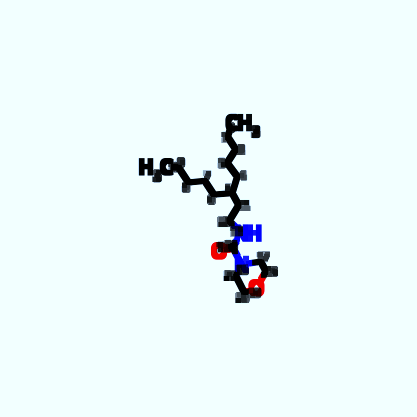 CCCCCC(CCCCC)CCNC(=O)N1CCOCC1